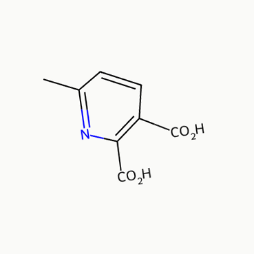 Cc1ccc(C(=O)O)c(C(=O)O)n1